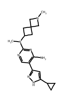 CN1CC2(CC(N(C)c3ncc(-c4cc(C5CC5)[nH]n4)c(N)n3)C2)C1